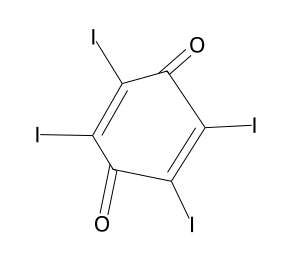 O=C1C(I)=C(I)C(=O)C(I)=C1I